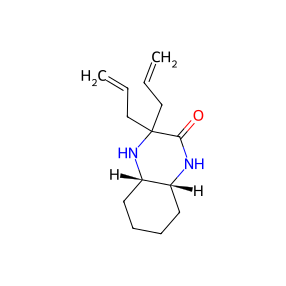 C=CCC1(CC=C)N[C@H]2CCCC[C@H]2NC1=O